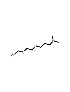 CC(=O)COCCOCCCN(C)C